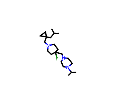 CC(C)CC1(CN2CCC(F)(CN3CCN(C(C)C)CC3)CC2)CC1